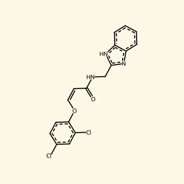 O=C(/C=C\Oc1ccc(Cl)cc1Cl)NCc1nc2ccccc2[nH]1